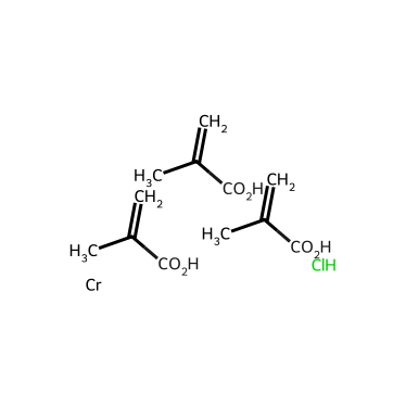 C=C(C)C(=O)O.C=C(C)C(=O)O.C=C(C)C(=O)O.Cl.[Cr]